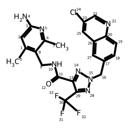 Cc1cc(N)nc(C)c1CNC(=O)c1nn(Cc2ccc3ncc(Cl)cc3c2)nc1C(F)(F)F